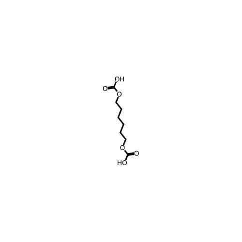 O=C(O)OCCCCCCOC(=O)O